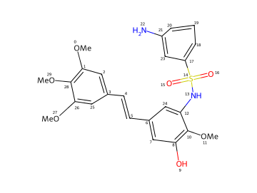 COc1cc(C=Cc2cc(O)c(OC)c(NS(=O)(=O)c3cccc(N)c3)c2)cc(OC)c1OC